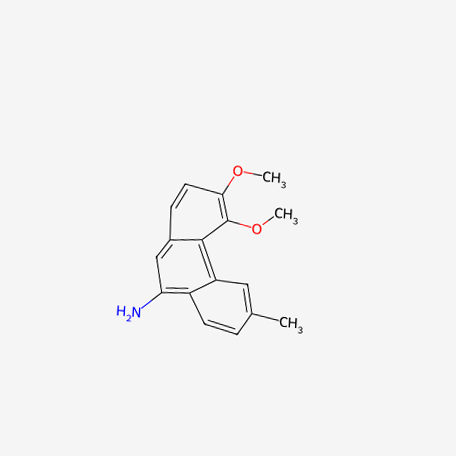 COc1ccc2cc(N)c3ccc(C)cc3c2c1OC